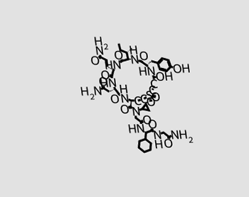 CC[C@H](C)[C@@H]1NC(=O)[C@H](Cc2ccc(O)cc2)NC(O)CCS(=O)(=O)CC[C@@H](C(=O)N(CC(=O)N[C@H](C(=O)NCC(N)=O)C2CCCCC2)C2CC2)NC(=O)[C@H](CC(N)=O)NC(=O)[C@H](CCC(N)=O)NC1=O